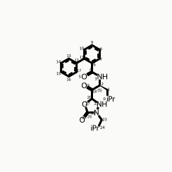 CC(C)C[C@H](NC(=O)c1ccccc1-c1ccccc1)C(=O)C1NN(CC(C)C)C(=O)O1